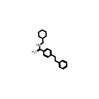 C=C(NCC1CCCCC1)c1ccc(CCc2ccccc2)cc1